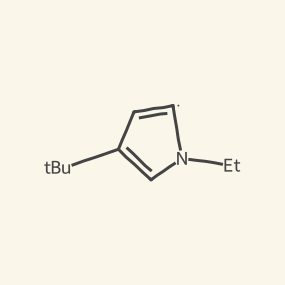 CCn1[c]cc(C(C)(C)C)c1